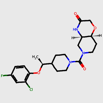 C[C@H](Oc1ccc(F)cc1Cl)C1CCN(C(=O)N2CC[C@@H]3OCC(=O)N[C@@H]3C2)CC1